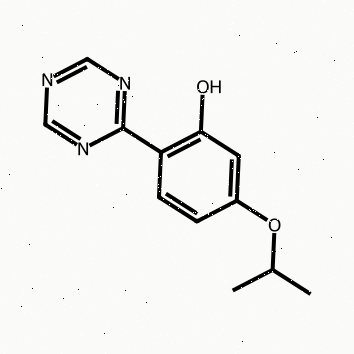 CC(C)Oc1ccc(-c2ncncn2)c(O)c1